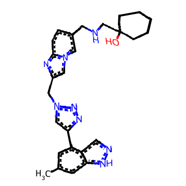 Cc1cc(-c2cn(Cc3cn4cc(CNCC5(O)CCCCC5)ccc4n3)nn2)c2cn[nH]c2c1